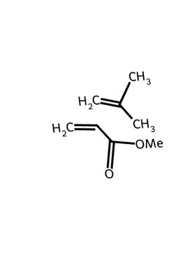 C=C(C)C.C=CC(=O)OC